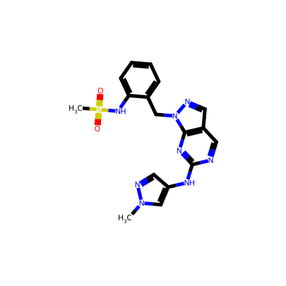 Cn1cc(Nc2ncc3cnn(Cc4ccccc4NS(C)(=O)=O)c3n2)cn1